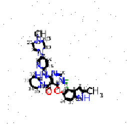 Cc1cc2c(F)c(Oc3ncnc(Nc4ccc(N5CCN(C)CC5)cn4)c3C(=O)N3CCCCC3)ccc2[nH]1